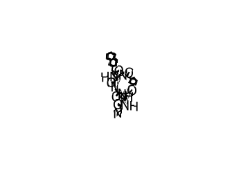 CN(C)CC(=O)N[C@@H]1C[C@H]2COc3cccc(c3)C(=O)N(C)C[C@H](NC(=O)Cc3ccc4ccccc4c3)C(=O)N(C)CC(=O)N2C1